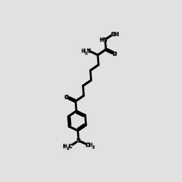 CN(C)c1ccc(C(=O)CCCCCC(N)C(=O)NO)cc1